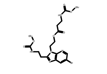 CC(C)(C)OC(=O)NCCC(=O)OCCn1c(CCNC(=O)OC(C)(C)C)nc2cc(Br)cnc21